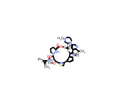 CCO[C@@H]1C2=NC(CS2)c2ccc3c(c2)c(c(-c2cc(N4CCCN(C)CC4)cnc2[C@H](C)OC)n3CC)CC(C)(C)COC(=O)[C@@H]2CCCN(N2)C(=O)[C@H]1NC(=O)[C@@H]1[C@@H](C)[C@H]1C(C)C